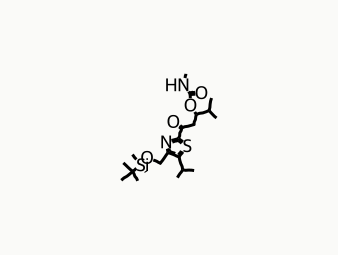 CNC(=O)OC(CC(=O)c1nc(CO[Si](C)(C)C(C)(C)C)c(C(C)C)s1)C(C)C